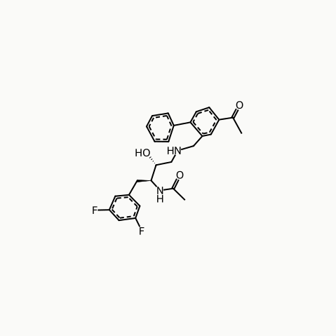 CC(=O)N[C@@H](Cc1cc(F)cc(F)c1)[C@H](O)CNCc1cc(C(C)=O)ccc1-c1ccccc1